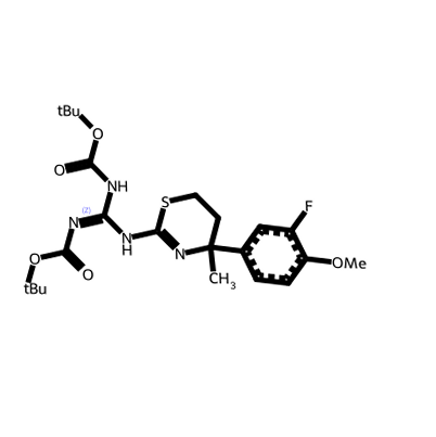 COc1ccc(C2(C)CCSC(N/C(=N\C(=O)OC(C)(C)C)NC(=O)OC(C)(C)C)=N2)cc1F